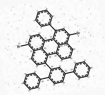 Brc1cc(-c2ccccc2)c2c3ccc(Br)c4ccc(-c5cc(-c6ccccc6)ccc5-c5ccccc5)c(c5cccc1c52)c43